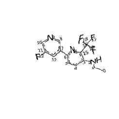 CCNc1ccc(-c2cncc(F)c2)nc1C(F)(F)F